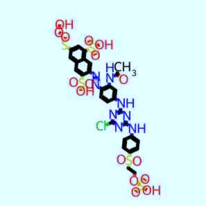 CC(=O)Nc1cc(Nc2nc(Cl)nc(Nc3ccc(S(=O)(=O)CCOS(=O)(=O)O)cc3)n2)ccc1/N=N/c1cc2c(S(=O)(=O)O)cc(SOOO)cc2cc1S(=O)(=O)O